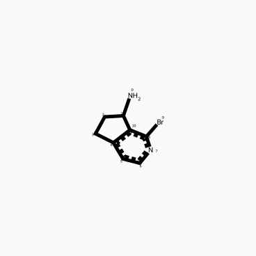 NC1CCc2ccnc(Br)c21